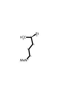 CC[C@H](C)CCCNC